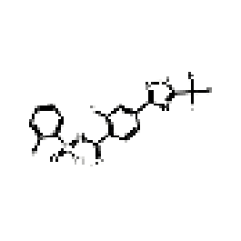 CS(=O)(=NC(=O)c1ccc(-c2noc(C(F)(F)F)n2)cc1F)c1ccccc1F